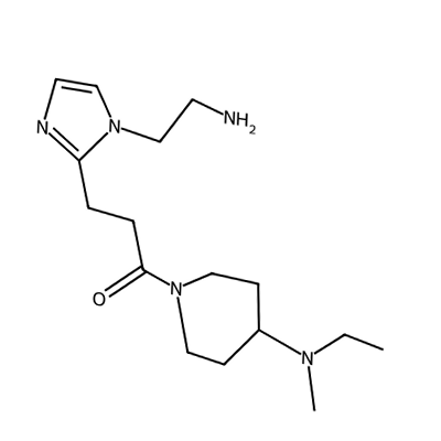 CCN(C)C1CCN(C(=O)CCc2nccn2CCN)CC1